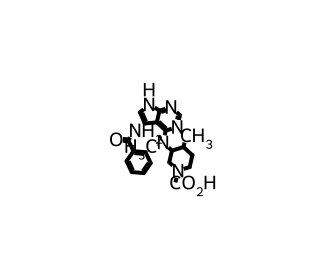 CC1CCN(C(=O)O)CC1N(C)c1ncnc2[nH]ccc12.NC(=O)c1ccccc1